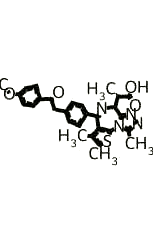 COc1ccc(C(=O)Cc2ccc(C3=NC([C@H](C)C(=O)O)c4nnc(C)n4-c4sc(C)c(C)c43)cc2)cc1